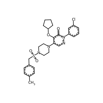 Cc1ccc(CS(=O)(=O)N2CCN(c3cnn(-c4cccc(Cl)c4)c(=O)c3OC3CCCC3)CC2)cc1